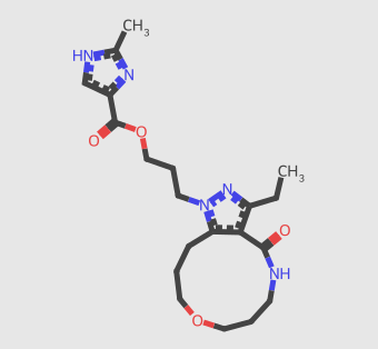 CCc1nn(CCCOC(=O)c2c[nH]c(C)n2)c2c1C(=O)NCCCOCCC2